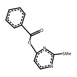 CSc1nccc(OC(=O)c2ccccc2)n1